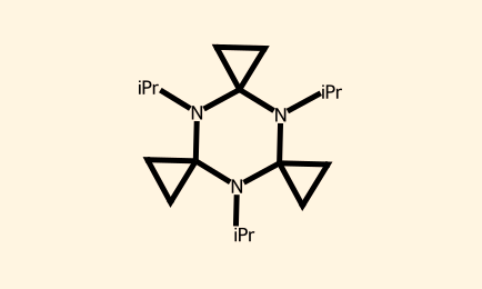 CC(C)N1C2(CC2)N(C(C)C)C2(CC2)N(C(C)C)C12CC2